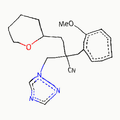 COc1ccccc1C(C#N)(CC1CCCCO1)Cn1cncn1